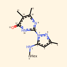 CCCCCCNc1cc(C)nn1-c1nc(C)c(C)c(=O)[nH]1